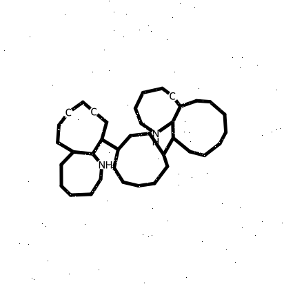 C1CCCC2CCCCCNC2C(C2CCCCCC(C3CCCCCCC4CCCCCNC43)CC2)CCC1